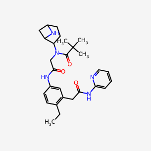 CCc1ccc(NC(=O)CN(C(=O)C(C)(C)C)C2CCC3CC2N3)cc1CC(=O)Nc1ccccn1